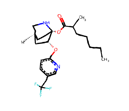 CCCCCC(C)C(=O)O[C@]12C[C@H](CN1)C[C@H]2Oc1ccc(C(F)(F)F)cn1